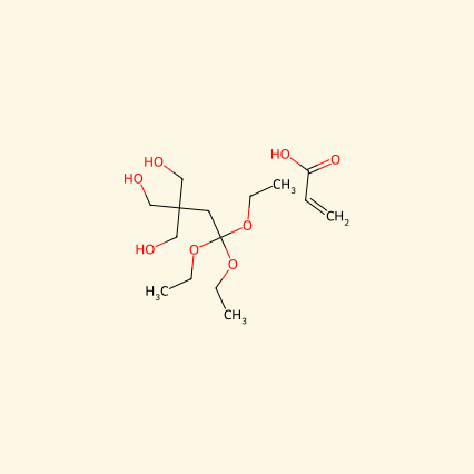 C=CC(=O)O.CCOC(CC(CO)(CO)CO)(OCC)OCC